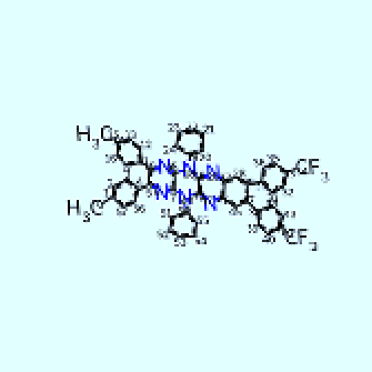 Cc1ccc(-c2nc3c(nc2-c2ccc(C)cc2)N(c2ccccc2)c2nc4cc(-c5ccc(C(F)(F)F)cc5)c(-c5ccc(C(F)(F)F)cc5)cc4nc2N3c2ccccc2)cc1